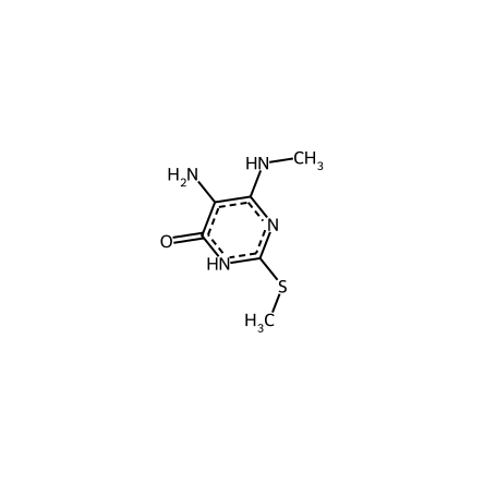 CNc1nc(SC)[nH]c(=O)c1N